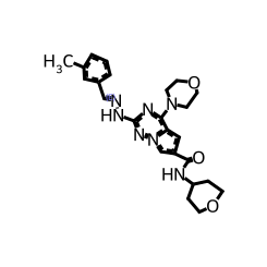 Cc1cccc(/C=N/Nc2nc(N3CCOCC3)c3cc(C(=O)NC4CCOCC4)cn3n2)c1